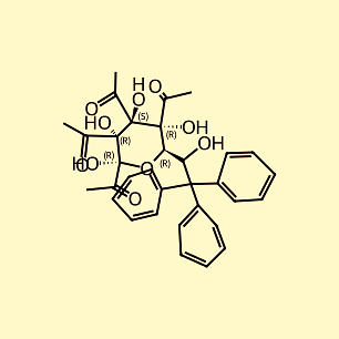 CC(=O)[C@@]1(O)[C@](O)(C(C)=O)[C@@](O)(C(C)=O)[C@@H](C(O)C(c2ccccc2)(c2ccccc2)c2ccccc2)O[C@@]1(O)C(C)=O